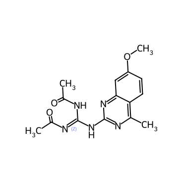 COc1ccc2c(C)nc(N/C(=N/C(C)=O)NC(C)=O)nc2c1